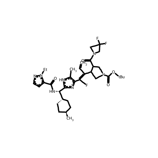 C=C/C(=C(/F)c1nc([C@@H](NC(=O)c2ccnn2CC)[C@H]2CC[C@H](C)CC2)[nH]c1C)C1CN(C(=O)OC(C)(C)C)CC1C(=O)N1CC(F)(F)C1